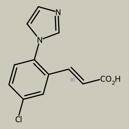 O=C(O)/C=C/c1cc(Cl)ccc1-n1ccnc1